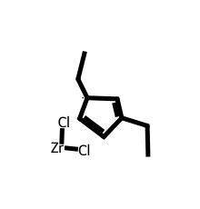 CC[C]1C=CC(CC)=C1.[Cl][Zr][Cl]